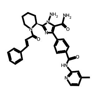 Cc1ccnc(NC(=O)c2ccc(-c3nc([C@@H]4CCCCN4C(=O)C=Cc4ccccc4)n(N)c3C(N)=O)cc2)c1